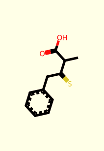 CC(C(=O)O)C(=S)Cc1ccccc1